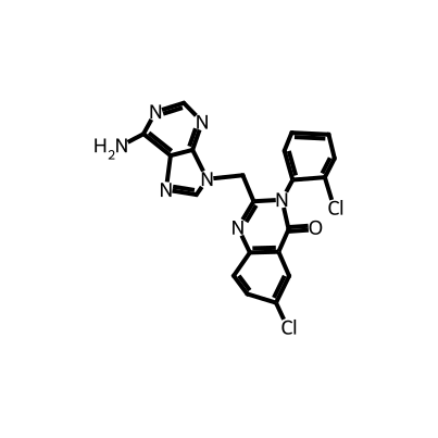 Nc1ncnc2c1ncn2Cc1nc2ccc(Cl)cc2c(=O)n1-c1ccccc1Cl